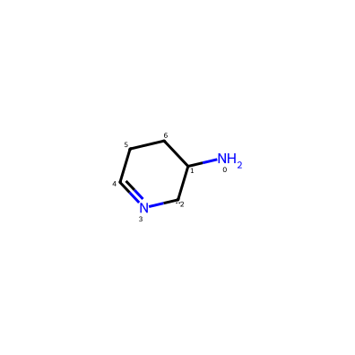 NC1[C]N=CCC1